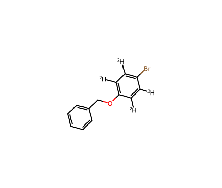 [2H]c1c([2H])c(OCc2ccccc2)c([2H])c([2H])c1Br